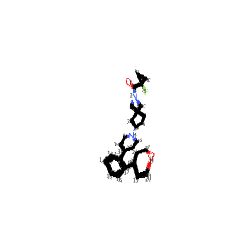 O=C(N1CC2(CC[C@H](N3CCC(c4ccccc4C4CCOCC4)CC3)C2)C1)C1(F)CC1